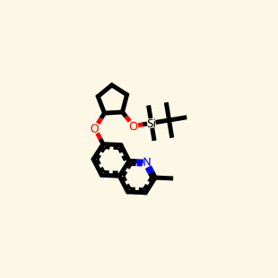 Cc1ccc2ccc(OC3CCCC3O[Si](C)(C)C(C)(C)C)cc2n1